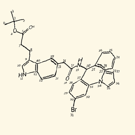 CC(C)(C)OC(=O)CCc1c[nH]c2ccc(CC(=O)NC(c3ccccc3)c3ccc(Br)cc3-n3cccc3)cc12